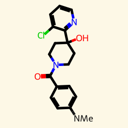 CNc1ccc(C(=O)N2CCC(O)(c3ncccc3Cl)CC2)cc1